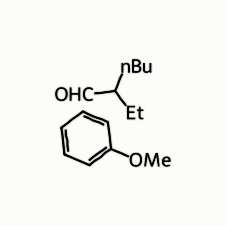 CCCCC(C=O)CC.COc1ccccc1